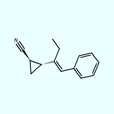 CC/C(=C\c1ccccc1)[C@@H]1C[C@H]1C#N